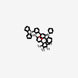 [2H]c1c([2H])c([2H])c(-c2ccc(Nc3c(-c4ccc5c6ccccc6n(-c6ccccc6)c5c4)cccc3-n3c4ccccc4c4ccccc43)cc2)c([2H])c1[2H]